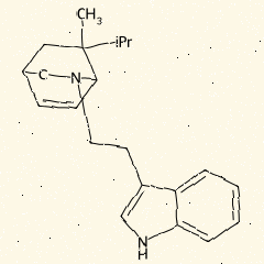 CC(C)C1(C)CC2C=CC1N(CCc1c[nH]c3ccccc13)C2